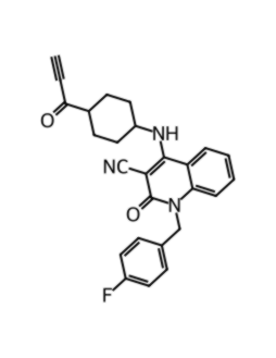 C#CC(=O)C1CCC(Nc2c(C#N)c(=O)n(Cc3ccc(F)cc3)c3ccccc23)CC1